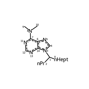 CCCCCCCC(CCC)n1cnc2c(N(C)C)ncnc21